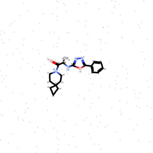 C[C@@H](Nc1nnc(-c2ccccc2)o1)C(=O)N1CCC2(CCC2)CC1